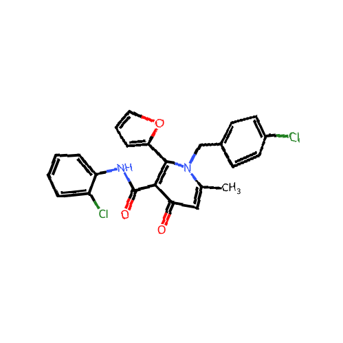 Cc1cc(=O)c(C(=O)Nc2ccccc2Cl)c(-c2ccco2)n1Cc1ccc(Cl)cc1